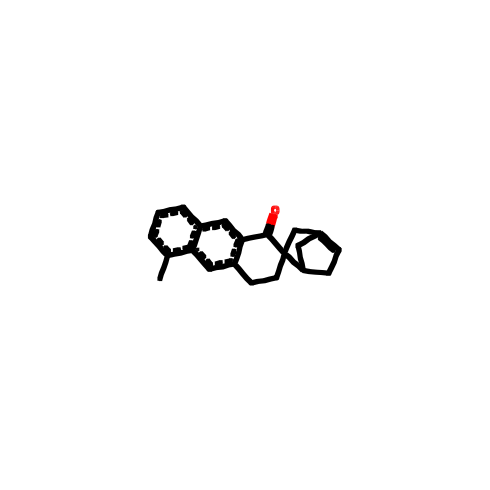 Cc1cccc2cc3c(cc12)CCC1(CC2=CCC1C2)C3=O